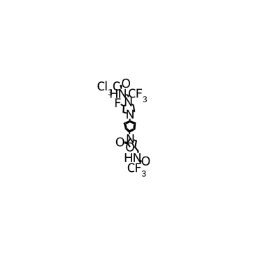 O=C1OC(CNC(=O)C(F)(F)F)CN1c1ccc(N2CCN(C(NC(=O)C(Cl)(Cl)Cl)C(F)(F)F)C(F)C2)cc1